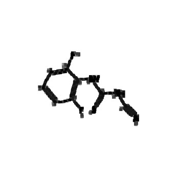 N#CNC(=S)Nc1c(F)cccc1F